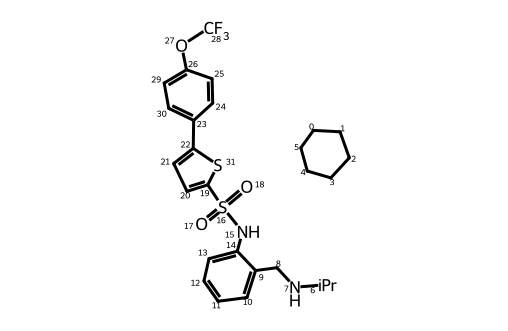 C1CCCCC1.CC(C)NCc1ccccc1NS(=O)(=O)c1ccc(-c2ccc(OC(F)(F)F)cc2)s1